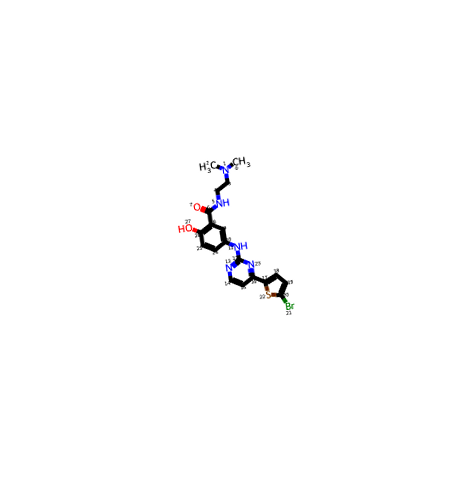 CN(C)CCNC(=O)c1cc(Nc2nccc(-c3ccc(Br)s3)n2)ccc1O